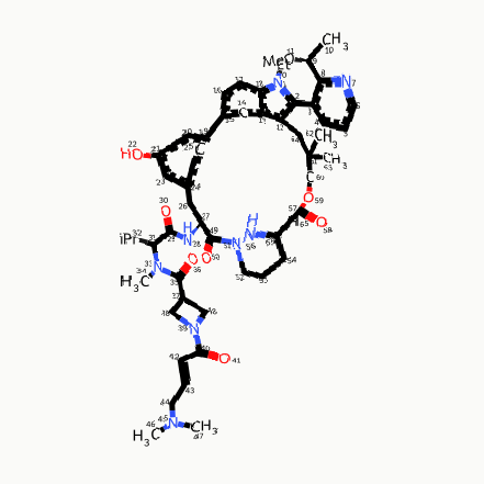 CCn1c(-c2cccnc2[C@H](C)OC)c2c3cc(ccc31)-c1cc(O)cc(c1)C[C@H](NC(=O)C(C(C)C)N(C)C(=O)C1CN(C(=O)/C=C/CN(C)C)C1)C(=O)N1CCC[C@H](N1)C(=O)OCC(C)(C)C2